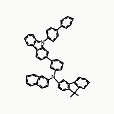 CC1(C)c2ccccc2-c2cc(N(c3cccc(-c4ccc5c6ccccc6n(-c6ccc(-c7ccccc7)cc6)c5c4)c3)c3ccc4ccccc4c3)ccc21